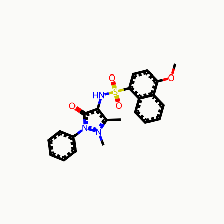 COc1ccc(S(=O)(=O)Nc2c(C)n(C)n(-c3ccccc3)c2=O)c2ccccc12